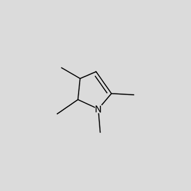 CC1=CC(C)C(C)N1C